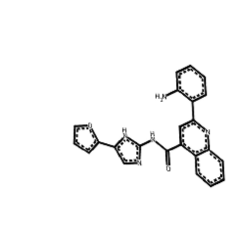 Nc1ccccc1-c1cc(C(=O)Nc2ncc(-c3ccco3)[nH]2)c2ccccc2n1